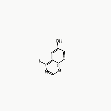 Oc1ccc2ncnc(I)c2c1